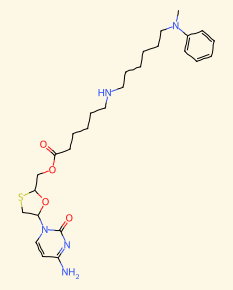 CN(CCCCCCNCCCCCC(=O)OCC1OC(n2ccc(N)nc2=O)CS1)c1ccccc1